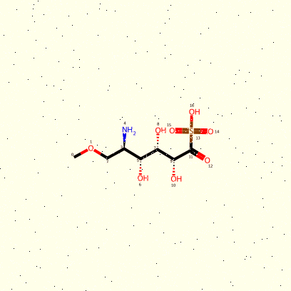 COC[C@@H](N)[C@@H](O)[C@H](O)[C@@H](O)C(=O)S(=O)(=O)O